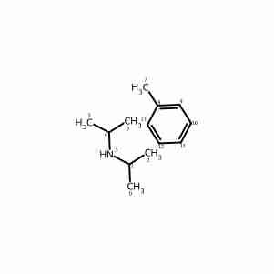 CC(C)NC(C)C.Cc1ccccc1